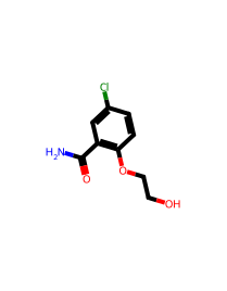 NC(=O)c1cc(Cl)ccc1OCCO